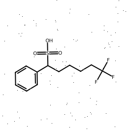 O=S(=O)(O)C(CCCCC(F)(F)F)c1ccccc1